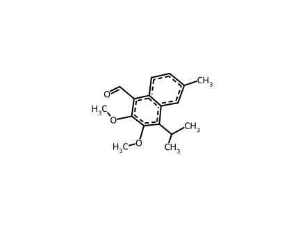 COc1c(OC)c(C(C)C)c2cc(C)ccc2c1C=O